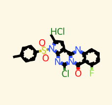 Cc1ccc(S(=O)(=O)n2c(C)cc3c2nc(Cl)n2c(=O)c4c(F)cccc4nc32)cc1.Cl